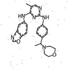 Cc1cnc(Nc2ccc(C(C)N3CCOCC3)cc2)nc1Nc1ccc2ocnc2c1